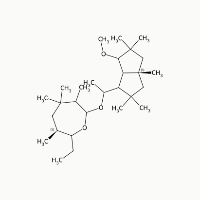 CCC1OC(OC(C)C2C3C(OC)C(C)(C)C[C@]3(C)CC2(C)C)C(C)C(C)(C)C[C@@H]1C